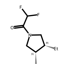 CC[C@H]1CN(C(=O)C(F)F)C[C@H]1C